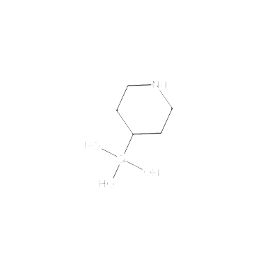 O[Si](O)(O)C1CCNCC1